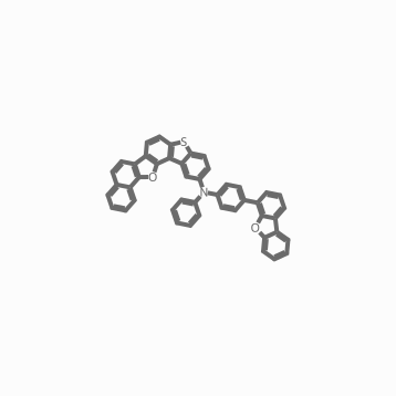 c1ccc(N(c2ccc(-c3cccc4c3oc3ccccc34)cc2)c2ccc3sc4ccc5c6ccc7ccccc7c6oc5c4c3c2)cc1